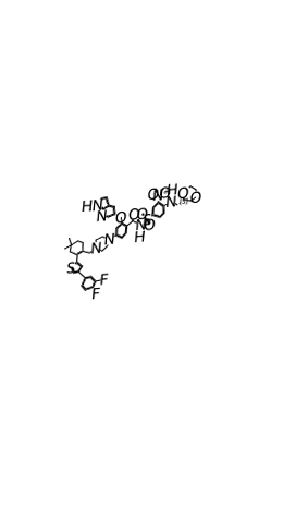 CC1(C)CCC(CN2CCN(c3ccc(C(=O)NS(=O)(=O)c4ccc(NC[C@H]5COCCO5)c([N+](=O)[O-])c4)c(Oc4cnc5[nH]ccc5c4)c3)CC2)=C(c2cc(-c3ccc(F)c(F)c3)cs2)C1